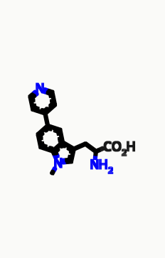 Cn1cc(CC(N)C(=O)O)c2cc(-c3ccncc3)ccc21